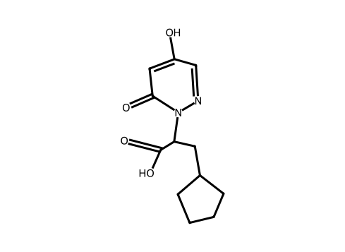 O=C(O)C(CC1CCCC1)n1ncc(O)cc1=O